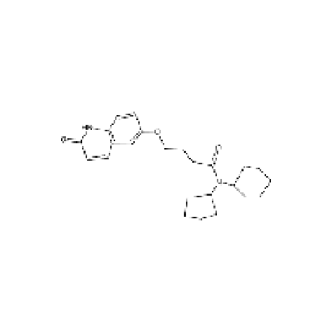 O=C(CCCOc1ccc2[nH]c(=O)ccc2c1)N(C1CCCCC1)C1CCCC1